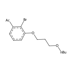 CCCCOCCCOc1cccc(C(C)=O)c1Br